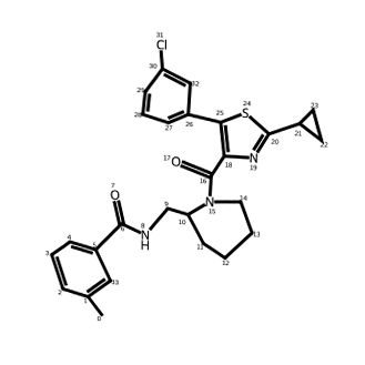 Cc1cccc(C(=O)NCC2CCCCN2C(=O)c2nc(C3CC3)sc2-c2cccc(Cl)c2)c1